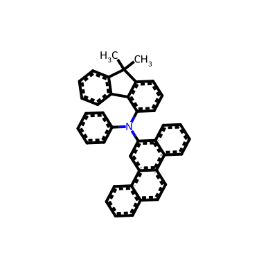 CC1(C)c2ccccc2-c2c(N(c3ccccc3)c3cc4c5ccccc5ccc4c4ccccc34)cccc21